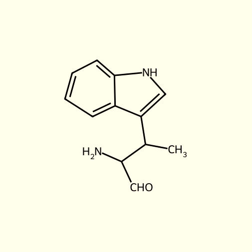 CC(c1c[nH]c2ccccc12)C(N)C=O